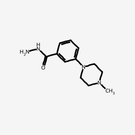 CN1CCN(c2cccc(C(=O)NN)c2)CC1